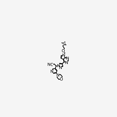 C[Si](C)(C)CCOCn1ccc2c(-c3cnn(C(CC#N)c4cncc(N5CCOCC5)c4)c3)ncnc21